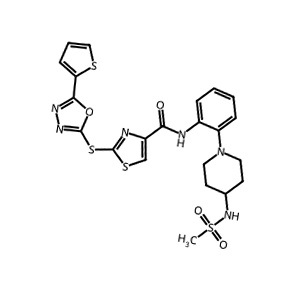 CS(=O)(=O)NC1CCN(c2ccccc2NC(=O)c2csc(Sc3nnc(-c4cccs4)o3)n2)CC1